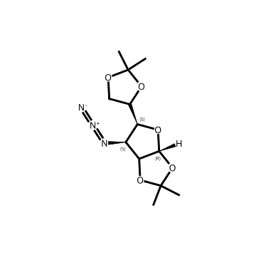 CC1(C)OCC([C@H]2O[C@@H]3OC(C)(C)OC3[C@H]2N=[N+]=[N-])O1